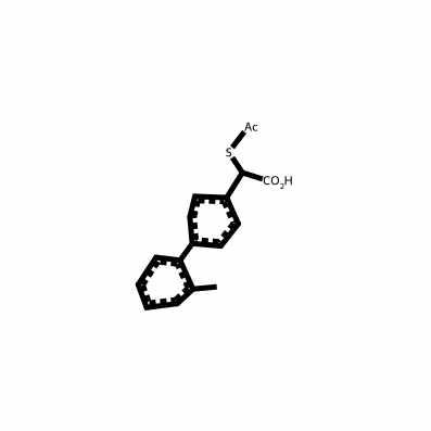 CC(=O)SC(C(=O)O)c1ccc(-c2ccccc2C)cc1